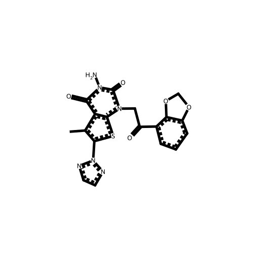 Cc1c(-n2nccn2)sc2c1c(=O)n(N)c(=O)n2CC(=O)c1cccc2c1OCO2